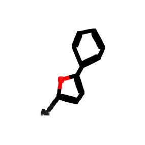 CC(=O)c1ccc(-c2ccccc2)o1